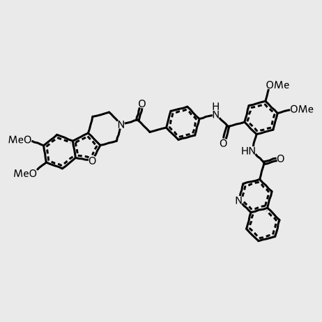 COc1cc(NC(=O)c2cnc3ccccc3c2)c(C(=O)Nc2ccc(CC(=O)N3CCc4c(oc5cc(OC)c(OC)cc45)C3)cc2)cc1OC